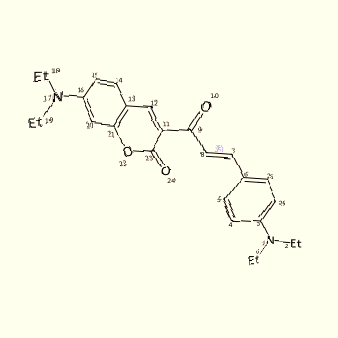 CCN(CC)c1ccc(/C=C/C(=O)c2cc3ccc(N(CC)CC)cc3oc2=O)cc1